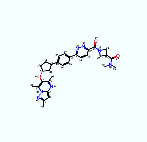 Cc1cc2nc(C)c(O[C@@H]3CCC(c4ccc(-c5ccc(C(=O)N6CC(C(=O)N(C)C)C6)nn5)cc4)C3)c(C)n2n1